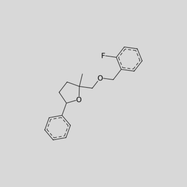 CC1(COCc2ccccc2F)CCC(c2ccccc2)O1